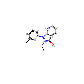 CCn1c(=O)c2cccnc2n1-c1cccc(C)c1